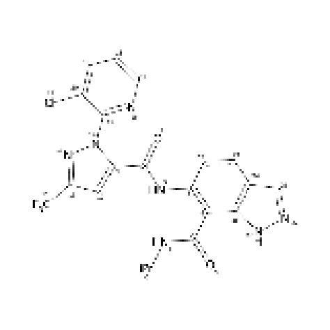 CC(C)NC(=O)c1c(NC(=O)c2cc(C(F)(F)F)nn2-c2ncccc2Cl)ccc2cn[nH]c12